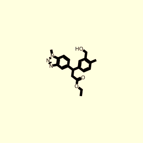 CCOC(=O)CC(c1ccc(C)c(CO)c1)c1ccc2c(c1)nnn2C